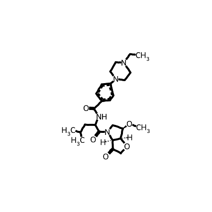 CCN1CCN(c2ccc(C(=O)NC(CC(C)C)C(=O)N3C[C@@H](OC)[C@H]4OCC(=O)[C@H]43)cc2)CC1